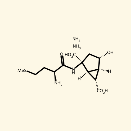 CSCC[C@H](N)C(=O)N[C@@]1(C(=O)O)C[C@H](O)[C@H]2[C@H](C(=O)O)[C@H]21.N.N